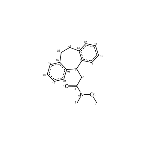 CON(C)C(=O)CC1c2ccccc2CCc2ccccc21